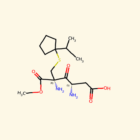 COC(=O)[C@@](N)(CSC1(C(C)C)CCCC1)C(=O)[C@@H](N)CC(=O)O